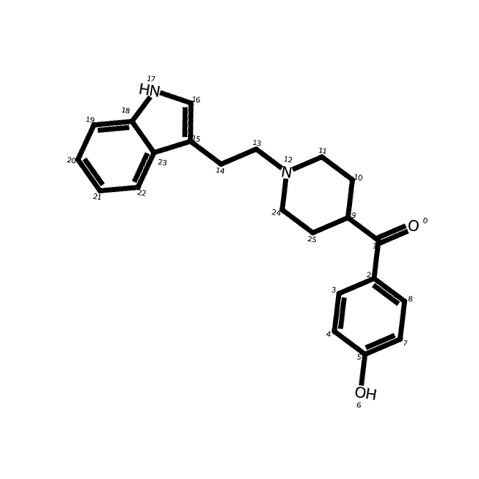 O=C(c1ccc(O)cc1)C1CCN(CCc2c[nH]c3ccccc23)CC1